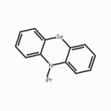 CC(C)N1c2ccccc2[Se]c2ccccc21